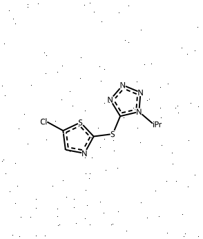 CC(C)n1nnnc1Sc1ncc(Cl)s1